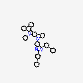 c1ccc(-c2ccc(-c3nc(-c4cccc(-c5ccccc5)c4)c4cc(-n5c6ccccc6c6cc7c8c9ccccc9c9ccccc9c8n(-c8ccccc8)c7cc65)ccc4n3)cc2)cc1